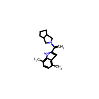 C=C(c1cc2c(C)ccc(C(F)(F)F)c2[nH]1)N1CC2CCCC2C1